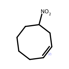 O=[N+]([O-])C1C/C=C\CCCC1